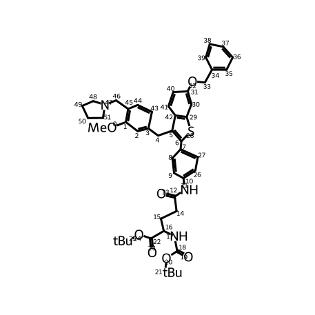 COc1cc(Cc2c(-c3ccc(NC(=O)CCC(NC(=O)OC(C)(C)C)C(=O)OC(C)(C)C)cc3)sc3cc(OCc4ccccc4)ccc23)ccc1CN1CCCC1